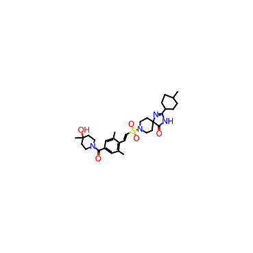 Cc1cc(C(=O)N2CCC(C)(O)CC2)cc(C)c1/C=C/S(=O)(=O)N1CCC2(CC1)N=C(C1CCC(C)CC1)NC2=O